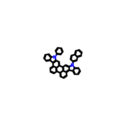 c1ccc(-n2c3ccccc3c3c4cccc5c6cccc7c6c(cc6c7c7ccccc7n6-c6ccc7ccccc7c6)c(cc32)c54)cc1